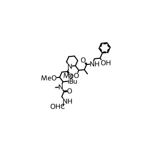 CCC(C)C(C(CC(=O)N1CCCCC1C(OC)C(C)C(=O)NCC(O)c1ccccc1)OC)N(C)C(=O)CNC=O